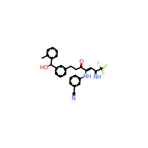 Cc1ccccc1C(O)c1cccc(CCC(=O)/C(=C/C(=N)C(F)(F)F)Nc2cccc(C#N)c2)c1